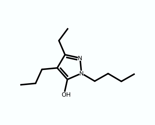 CCCCn1nc(CC)c(CCC)c1O